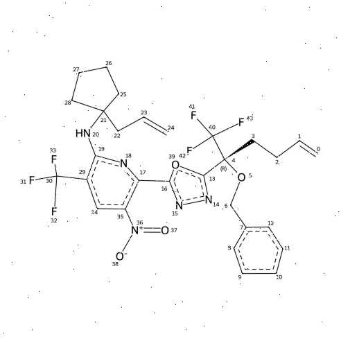 C=CCC[C@@](OCc1ccccc1)(c1nnc(-c2nc(NC3(CC=C)CCCC3)c(C(F)(F)F)cc2[N+](=O)[O-])o1)C(F)(F)F